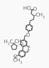 COc1ccc(F)c(-c2c(F)cc(COc3ccc(CC[C@H](C)CC(=O)O)cc3)cc2[C@@H]2CCCC2(C)C)c1